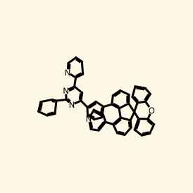 c1ccc(-c2nc(-c3cccc(-c4cccc5c4-c4c(-c6ccncc6)cccc4C54c5ccccc5Oc5ccccc54)c3)cc(-c3ccccn3)n2)cc1